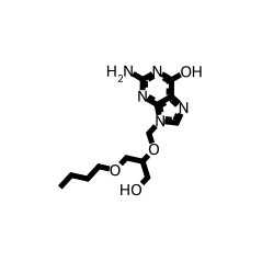 CCCCOCC(CO)OCn1cnc2c(O)nc(N)nc21